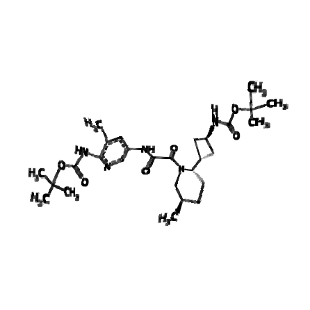 Cc1cc(NC(=O)C(=O)N2C[C@H](C)CC[C@H]2[C@H]2C[C@H](NC(=O)OC(C)(C)C)C2)cnc1NC(=O)OC(C)(C)C